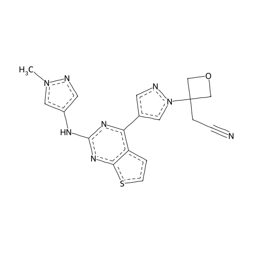 Cn1cc(Nc2nc(-c3cnn(C4(CC#N)COC4)c3)c3ccsc3n2)cn1